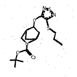 CCCSc1nsnc1OC1CC2CC1CN2C(=O)OC(C)(C)C